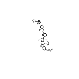 O=C(O)c1ccc2nc(Cc3cc(F)c(-c4cccc(OCc5ccc(-c6cn(C7COC7)nn6)cc5F)n4)cc3F)n(CC3CCO3)c2c1